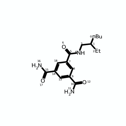 CCCCC(CC)CNC(=O)c1cc(C(N)=O)cc(C(N)=O)c1